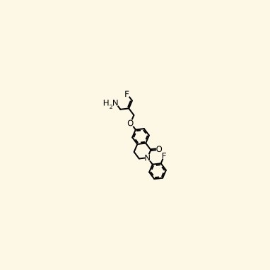 NC/C(=C\F)COc1ccc2c(c1)CCN(c1ccccc1F)C2=O